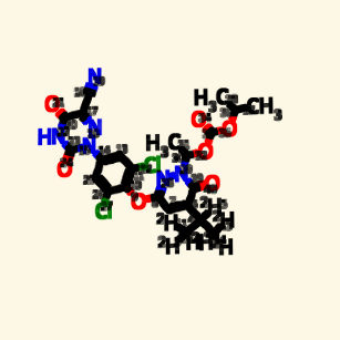 [2H]C([2H])([2H])C([2H])(c1cc(Oc2c(Cl)cc(-n3nc(C#N)c(=O)[nH]c3=O)cc2Cl)nn(C(C)OC(=O)OC(C)C)c1=O)C([2H])([2H])[2H]